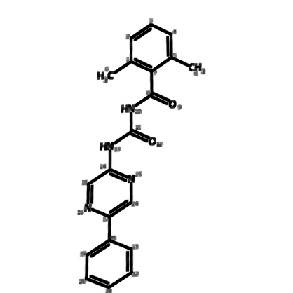 Cc1cccc(C)c1C(=O)NC(=O)Nc1cnc(-c2ccccc2)cn1